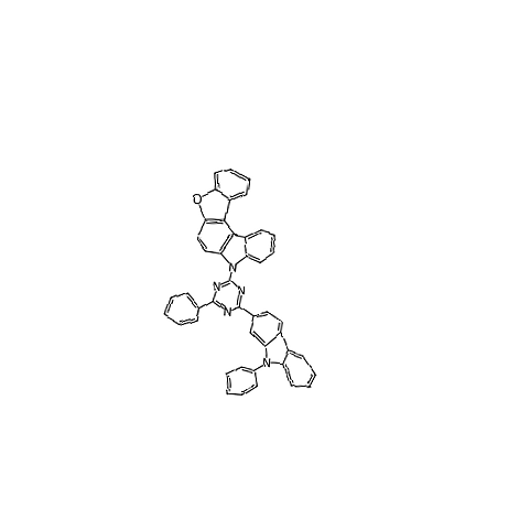 c1ccc(-c2nc(-c3ccc4c5ccccc5n(-c5ccccc5)c4c3)nc(-n3c4ccccc4c4c5c(ccc43)oc3ccccc35)n2)cc1